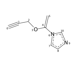 C#CCOC(=C)n1ccnc1